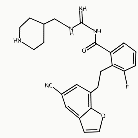 N#Cc1cc(CCc2c(F)cccc2C(=O)NC(=N)NCC2CCNCC2)c2occc2c1